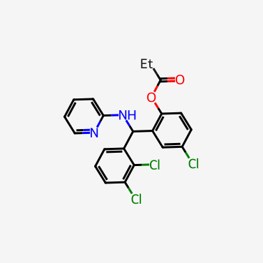 CCC(=O)Oc1ccc(Cl)cc1C(Nc1ccccn1)c1cccc(Cl)c1Cl